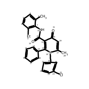 CCc1cccc(C)c1NC(=O)c1c(-c2ccccc2)n(-c2cccc(Cl)c2)c(C)cc1=O